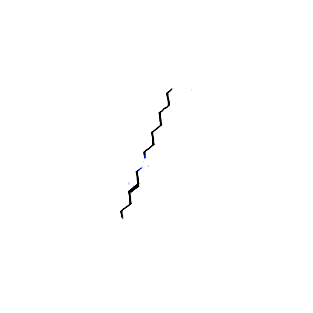 CCC/C=C/C[N]CCCCCCCC